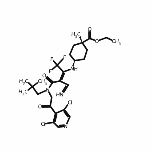 CCOC(=O)[C@]1(C)CC[C@@H](N/C(=C(\C=N)C(=O)N(CC(=O)c2c(Cl)cncc2Cl)CC(C)(C)C)C(F)(F)F)CC1